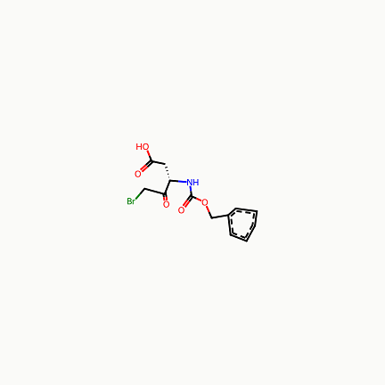 O=C(O)C[C@H](NC(=O)OCc1ccccc1)C(=O)CBr